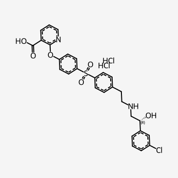 Cl.Cl.O=C(O)c1cccnc1Oc1ccc(S(=O)(=O)c2ccc(CCNC[C@H](O)c3cccc(Cl)c3)cc2)cc1